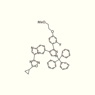 COCCOc1ccc(-c2nn(C(c3ccccc3)(c3ccccc3)c3ccccc3)cc2-c2ccc3ncc(-c4noc(C5CC5)n4)n3c2)c(F)c1